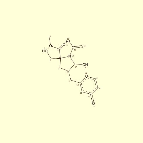 COC(=O)C1(CO)CC(Cc2cc(=O)cco2)C(O)N1C(=S)S